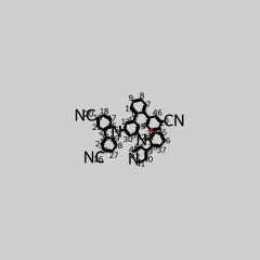 N#Cc1cccc(-c2ccccc2-c2cc(-n3c4ccc(C#N)cc4c4cc(C#N)ccc43)cc(-n3c4ccccc4c4ccncc43)c2)c1